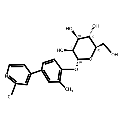 Cc1cc(-c2ccnc(Cl)c2)ccc1O[C@H]1O[C@H](CO)[C@@H](O)[C@H](O)[C@@H]1O